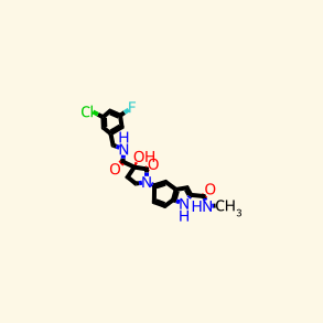 CNC(=O)c1cc2cc(N3CC[C@](O)(C(=O)NCc4cc(F)cc(Cl)c4)C3=O)ccc2[nH]1